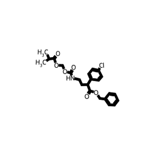 CC(C)C(=O)OCOC(=O)NCCC(C(=O)OCc1ccccc1)c1ccc(Cl)cc1